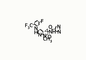 CN(C(=O)C1(NC(=O)c2cncnc2)CC1)c1ccc(Nc2cc(F)ccc2C(F)(F)F)cn1